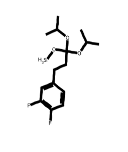 CC(C)OC(CCc1ccc(F)c(F)c1)(O[SiH3])OC(C)C